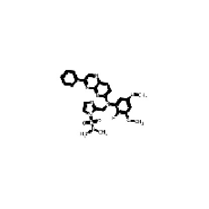 COc1cc(OC)c(F)c(N(Cc2nccn2S(=O)(=O)N(C)C)c2ccc3ncc(-c4ccccc4)nc3n2)c1